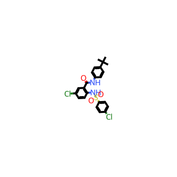 CC(C)(C)c1ccc(NC(=O)c2cc(Cl)ccc2NS(=O)(=O)c2ccc(Cl)cc2)cc1